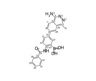 Cc1nnc(N)c2ccc(-c3ccc(NC(=O)c4ccccc4)c(B(O)O)c3)cc12